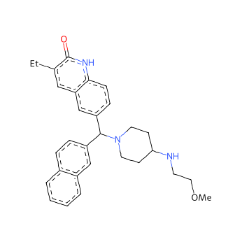 CCc1cc2cc(C(c3ccc4ccccc4c3)N3CCC(NCCOC)CC3)ccc2[nH]c1=O